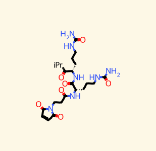 CC(C)C(=O)[C@H](CCCNC(N)=O)NC(=O)[C@H](CCCNC(N)=O)NC(=O)CCN1C(=O)C=CC1=O